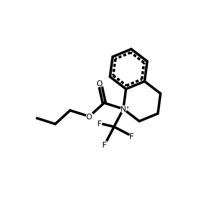 CCCOC(=O)[N+]1(C(F)(F)F)CCCc2ccccc21